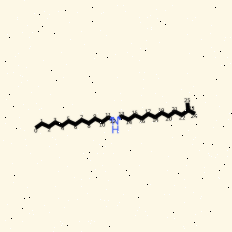 CCCCCCCCCCCCNCCCCCCCCCCC(C)C